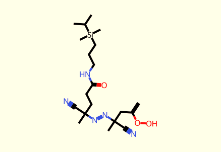 C=C(CC(C)(C#N)N=NC(C)(C#N)CCC(=O)NCCC[Si](C)(C)C(C)C)OO